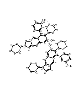 Cc1cc(-c2c(C3CCOCC3)[n+]([O-])cc3cc4c(cnn4C4CCCCO4)cc23)ccn1.Cc1cc(-c2c(C3CCOCC3)[n+]([O-])cc3cc4nn(C5CCCCO5)cc4cc23)ccn1